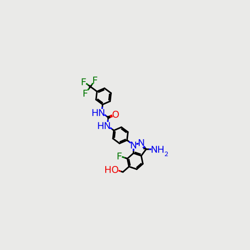 Nc1nn(-c2ccc(NC(=O)Nc3cccc(C(F)(F)F)c3)cc2)c2c(F)c(CO)ccc12